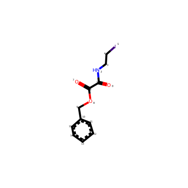 O=C(NCCI)C(=O)OCc1ccccc1